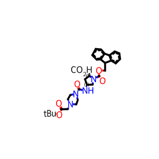 CC(C)(C)OC(=O)CN1CCN(C(=O)N[C@H]2C[C@@H](C(=O)O)N(C(=O)OCC3c4ccccc4-c4ccccc43)C2)CC1